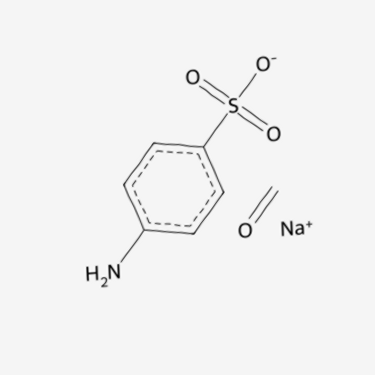 C=O.Nc1ccc(S(=O)(=O)[O-])cc1.[Na+]